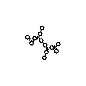 C1=CCCC(n2c3ccccc3c3cc(N(c4ccc(-c5ccccc5)cc4)C4C=CC(c5ccc(N(c6ccc(-c7ccccc7)cc6)c6ccc7c(c6)c6ccccc6n7-c6ccccc6)cc5)=CC4)ccc32)=C1